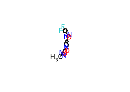 Cc1noc(CC(=O)N2CCC3(CC2)CC(c2nc(-c4ccc(F)c(F)c4)no2)C3)n1